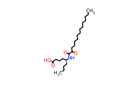 CCCCCCCCCCCCCC(=O)C(=O)N[C@@H](CCCC)CCCC(=O)O